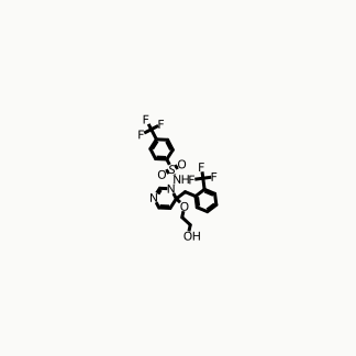 O=S(=O)(NN1C=NC=CC1(Cc1ccccc1C(F)(F)F)OCCO)c1ccc(C(F)(F)F)cc1